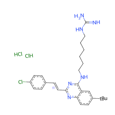 CC(C)(C)c1ccc2nc(/C=C/c3ccc(Cl)cc3)nc(NCCCCCCNC(=N)N)c2c1.Cl.Cl